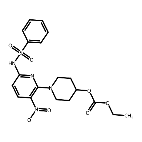 CCOC(=O)OC1CCN(c2nc(NS(=O)(=O)c3ccccc3)ccc2[N+](=O)[O-])CC1